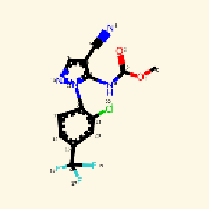 COC(=O)Nc1c(C#N)cnn1-c1ccc(C(F)(F)F)cc1Cl